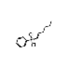 CCCCC=C[P](Cl)(Cl)c1ccccc1